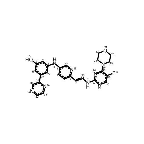 Oc1cc(Nc2ccc(/C=N/Nc3ncc(F)c(N4CCOCC4)n3)nc2)cc(-c2cnccn2)c1